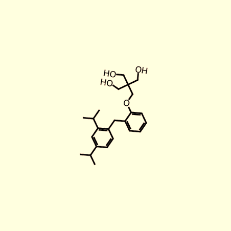 CC(C)c1ccc(Cc2ccccc2OCC(CO)(CO)CO)c(C(C)C)c1